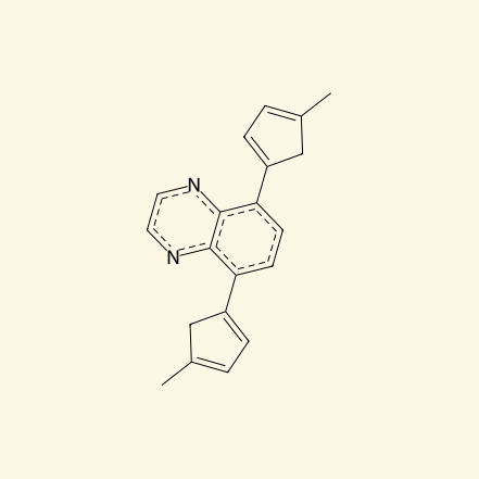 CC1=CC=C(c2ccc(C3=CC=C(C)C3)c3nccnc23)C1